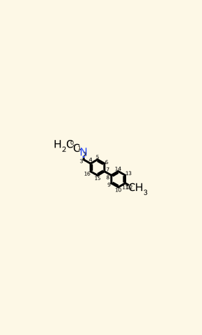 C=C=NCc1ccc(-c2ccc(C)cc2)cc1